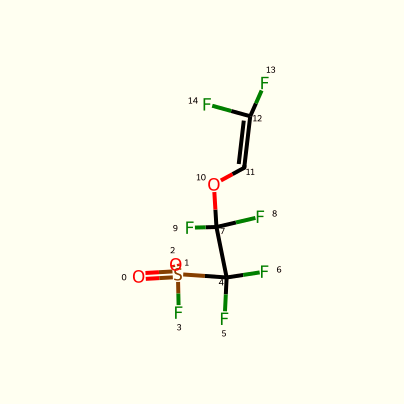 O=S(=O)(F)C(F)(F)C(F)(F)OC=C(F)F